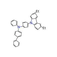 CCc1ccc2c(c1)c1cc(CC)ccc1n2-c1ccc(N(c2ccccc2)c2ccc(-c3ccccc3)cc2)cc1